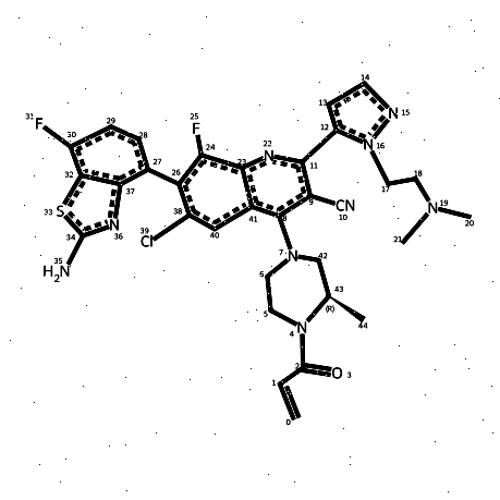 C=CC(=O)N1CCN(c2c(C#N)c(-c3ccnn3CCN(C)C)nc3c(F)c(-c4ccc(F)c5sc(N)nc45)c(Cl)cc23)C[C@H]1C